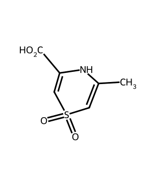 CC1=CS(=O)(=O)C=C(C(=O)O)N1